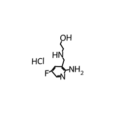 Cl.Nc1ncc(F)cc1CNCCO